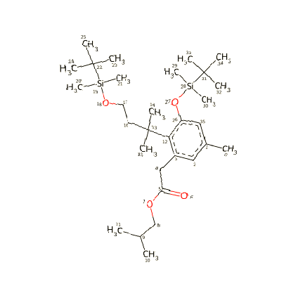 Cc1cc(CC(=O)OCC(C)C)c(C(C)(C)CCO[Si](C)(C)C(C)(C)C)c(O[Si](C)(C)C(C)(C)C)c1